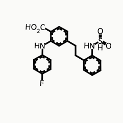 O=C(O)c1ccc(CCc2ccccc2N[SH](=O)=O)cc1Nc1ccc(F)cc1